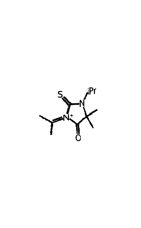 CC(C)=[N+]1C(=O)C(C)(C)N(C(C)C)C1=S